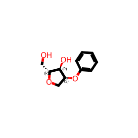 OC[C@H]1OC[C@H](Oc2ccccc2)[C@@H]1O